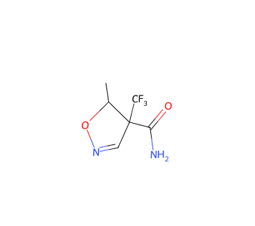 CC1ON=CC1(C(N)=O)C(F)(F)F